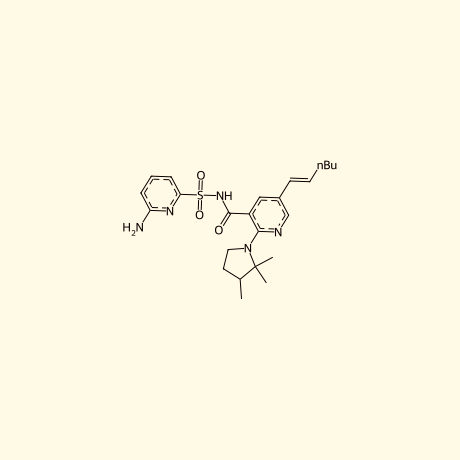 CCCC/C=C/c1cnc(N2CCC(C)C2(C)C)c(C(=O)NS(=O)(=O)c2cccc(N)n2)c1